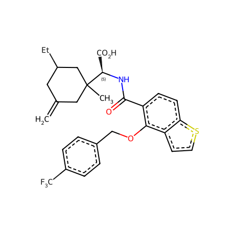 C=C1CC(CC)CC(C)([C@H](NC(=O)c2ccc3sccc3c2OCc2ccc(C(F)(F)F)cc2)C(=O)O)C1